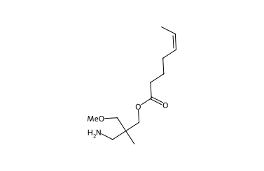 C/C=C\CCCC(=O)OCC(C)(CN)COC